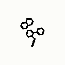 [N-]=[N+]=Nc1ccccc1-c1ccccc1.c1ccc2ncccc2c1